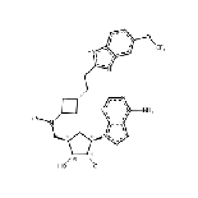 CC(C)N(C[C@H]1C[C@@H](n2ccc3c(N)ncnc32)[C@H](O)[C@@H]1O)[C@H]1C[C@@H](CCc2nc3cc(OC(F)(F)F)ccc3[nH]2)C1